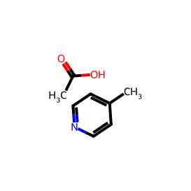 CC(=O)O.Cc1ccncc1